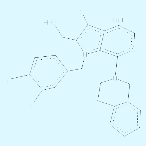 CCc1c(C)c2ccnc(N3CCc4ccccc4C3)c2n1Cc1ccc(Cl)c(Cl)c1.Cl